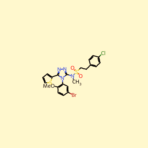 COc1ccc(Br)cc1-n1c(-c2cccs2)nnc1N(C)S(=O)(=O)CCc1ccc(Cl)cc1